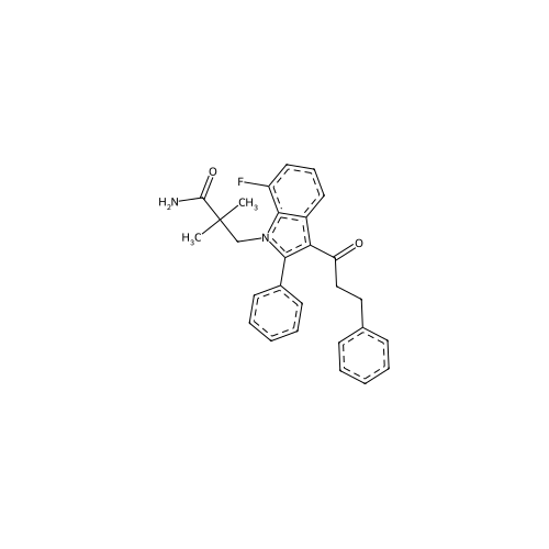 CC(C)(Cn1c(-c2ccccc2)c(C(=O)CCc2ccccc2)c2cccc(F)c21)C(N)=O